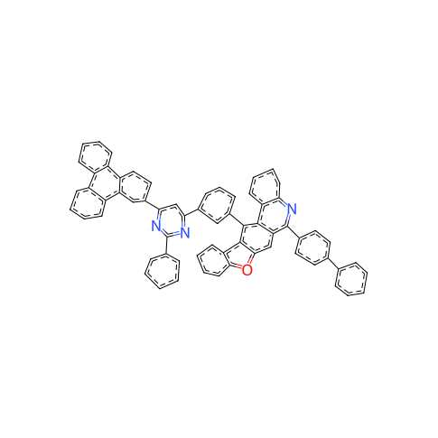 c1ccc(-c2ccc(-c3nc4ccccc4c4c(-c5cccc(-c6cc(-c7ccc8c9ccccc9c9ccccc9c8c7)nc(-c7ccccc7)n6)c5)c5c(cc34)oc3ccccc35)cc2)cc1